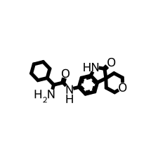 NC(C(=O)Nc1ccc2c(c1)NC(=O)C21CCOCC1)C1CCCCC1